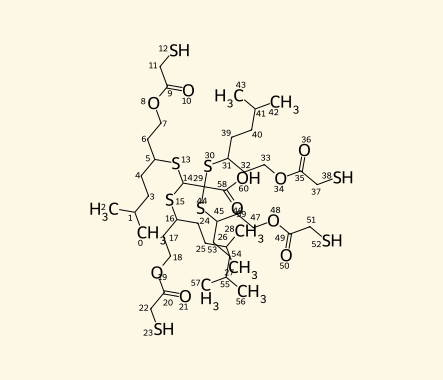 CC(C)CCC(CCOC(=O)CS)SC(SC(CCOC(=O)CS)CCC(C)C)C(SC(CCOC(=O)CS)CCC(C)C)(SC(CCOC(=O)CS)CCC(C)C)C(=O)O